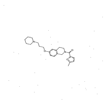 Cc1ccc(C(=O)N2CCc3cc(OCCCN4CCCCC4)ccc3C2)o1